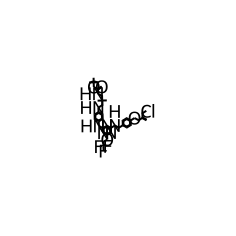 C=C(CCl)COc1ccc(CNc2nc(Nc3ccc(NCC(C)(C)CNC(=O)OC(C)(C)C)cc3)nc(OCC(F)(F)F)n2)cc1